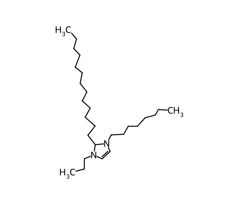 CCCCCCCCCCCCCC1N(CCC)C=CN1CCCCCCCC